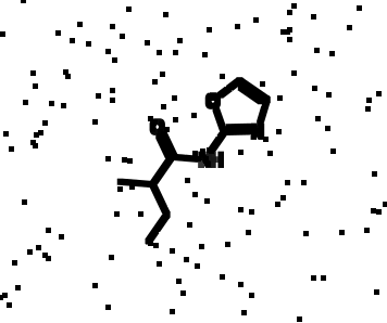 CCC(C)C(=O)Nc1ncco1